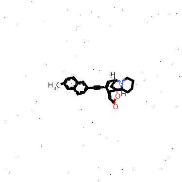 Cc1ccc2cc(C#CC3=C[C@@H]4C[C@@]5(OC(=O)C=C35)[C@H]3CCCCN43)ccc2c1